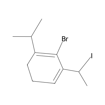 CC(C)C1=C(Br)C(C(C)I)=CCC1